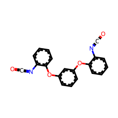 O=C=Nc1ccccc1Oc1cccc(Oc2ccccc2N=C=O)c1